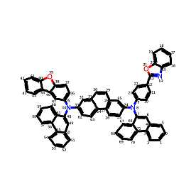 c1ccc2c(c1)cc(N(c1ccc(-c3nc4ccccc4o3)cc1)c1ccc3c(ccc4cc(N(c5ccc6oc7ccccc7c6c5)c5cc6ccccc6c6ccccc56)ccc43)c1)c1ccccc12